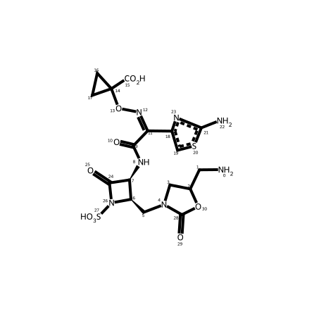 NCC1CN(C[C@@H]2[C@H](NC(=O)/C(=N\OC3(C(=O)O)CC3)c3csc(N)n3)C(=O)N2S(=O)(=O)O)C(=O)O1